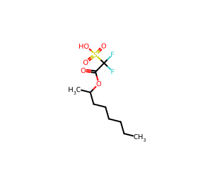 CCCCCCC(C)OC(=O)C(F)(F)S(=O)(=O)O